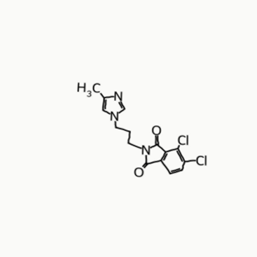 Cc1cn(CCCN2C(=O)c3ccc(Cl)c(Cl)c3C2=O)cn1